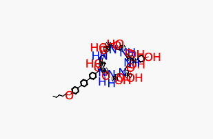 CCCCCOc1ccc(-c2ccc(-c3ccc(C(=O)N[C@H]4C[C@@H](O)CNC(=O)C5[C@@H](O)[C@@H](C)CN5C(=O)C([C@@H](C)O)NC(=O)C([C@H](O)[C@@H](O)c5ccc(O)cc5)NC(=O)C5C[C@@H](O)CN5C(=O)C([C@@H](C)O)NC4=O)cc3)cc2)cc1